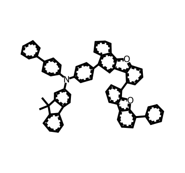 CC1(C)c2ccccc2-c2ccc(N(c3ccc(-c4ccccc4)cc3)c3ccc(-c4cc5c(oc6cccc(-c7cccc8c7oc7c(-c9ccccc9)cccc78)c65)c5ccccc45)cc3)cc21